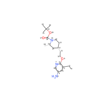 CCc1cc(N)cnc1OCC[C@H]1CCN(C(=O)OC(C)(C)C)[C@@H](C)C1